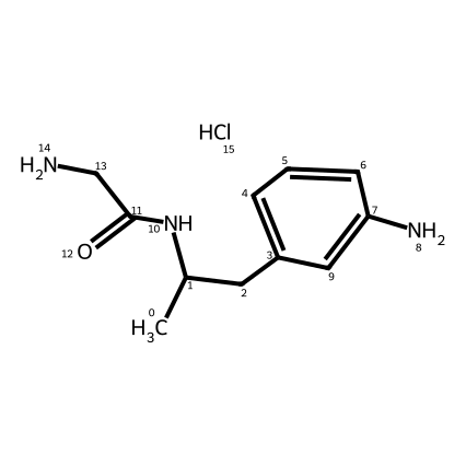 CC(Cc1cccc(N)c1)NC(=O)CN.Cl